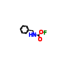 O=C(NCc1ccccc1)OF